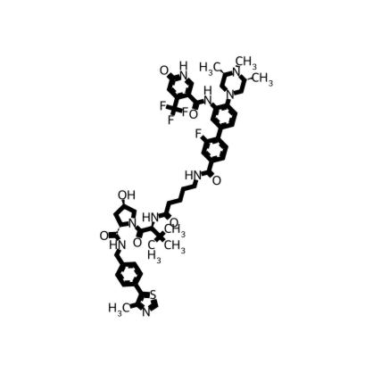 Cc1ncsc1-c1ccc(CNC(=O)[C@@H]2C[C@@H](O)CN2C(=O)[C@@H](NC(=O)CCCCNC(=O)c2ccc(-c3ccc(N4C[C@@H](C)N(C)[C@@H](C)C4)c(NC(=O)c4c[nH]c(=O)cc4C(F)(F)F)c3)c(F)c2)C(C)(C)C)cc1